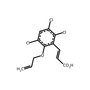 C=CCOc1c(Cl)cc(Cl)c(Cl)c1/C=C/C(=O)O